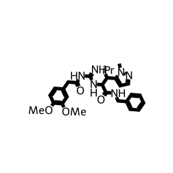 COc1ccc(CC(=O)NC(=N)NC(C(=O)NCc2ccccc2)C(c2ccnn2C)C(C)C)cc1OC